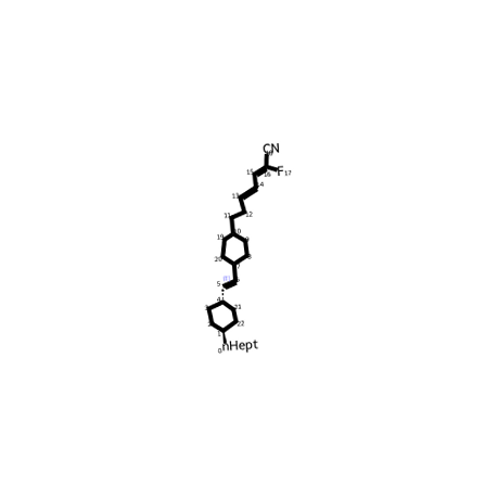 CCCCCCC[C@H]1CC[C@H](/C=C/C2CCC(CCC=CC=C(F)C#N)CC2)CC1